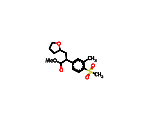 COC(=O)C(CC1CCCO1)c1ccc(S(C)(=O)=O)c(C)c1